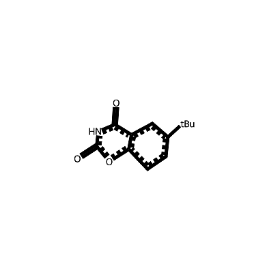 CC(C)(C)c1ccc2oc(=O)[nH]c(=O)c2c1